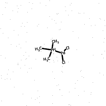 C[PH](C)(C)[Pd]([Cl])[Cl]